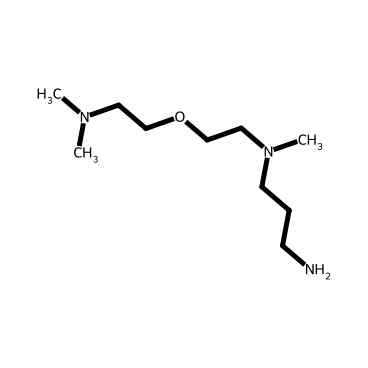 CN(C)CCOCCN(C)CCCN